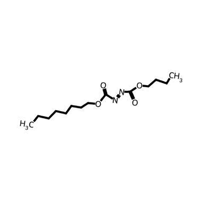 CCCCCCCCOC(=O)N=NC(=O)OCCCC